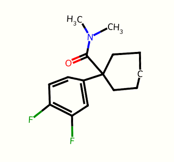 CN(C)C(=O)C1(c2ccc(F)c(F)c2)CCCCC1